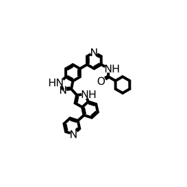 O=C(Nc1cncc(-c2ccc3[nH]nc(-c4cc5c(-c6cccnc6)cccc5[nH]4)c3c2)c1)C1CCCCC1